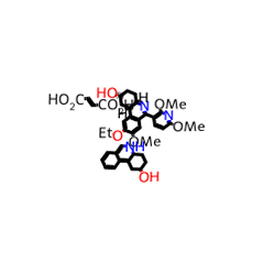 CCOc1cc2c(cc1OC)C(c1ccc(OC)nc1OC)=N[C@@H]1CC[C@@H](O)C[C@H]21.O=C(O)C=CC(=O)O.OC1CCC2NC=c3ccccc3=C2C1